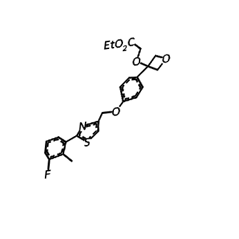 CCOC(=O)COC1(c2ccc(OCc3csc(-c4cccc(F)c4C)n3)cc2)COC1